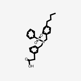 CCCCc1ccc(CN(Cc2cccc(CC(=O)O)c2)S(=O)(=O)c2ccccc2)cc1